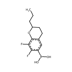 CCCC1CCc2cc(B(O)O)c(F)c(F)c2O1